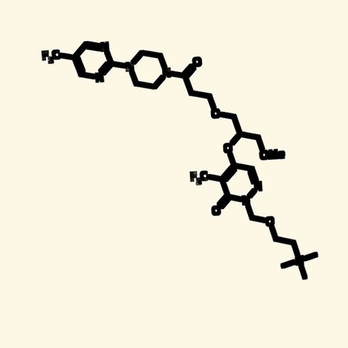 COCC(COCCC(=O)N1CCN(c2ncc(C(F)(F)F)cn2)CC1)Oc1cnn(COCC[Si](C)(C)C)c(=O)c1C(F)(F)F